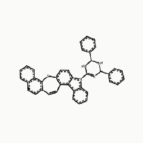 C1=Cc2c(ccc3c2c2ccccc2n3C2=NC(c3ccccc3)NC(c3ccccc3)N2)Sc2c1ccc1ccccc21